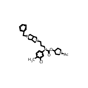 CC(=O)N1CCC(OC(=O)N(CCCN2CC3CN(Cc4ccccc4)CC3C2)c2ccc(C)c(Cl)c2)CC1